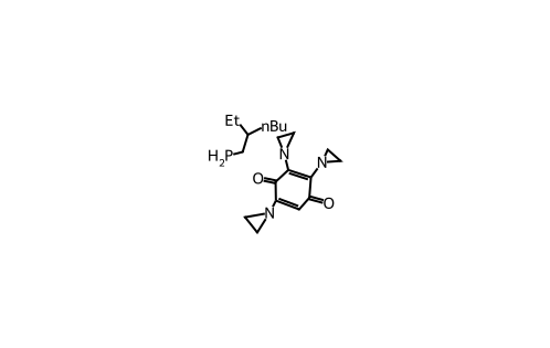 CCCCC(CC)CP.O=C1C=C(N2CC2)C(=O)C(N2CC2)=C1N1CC1